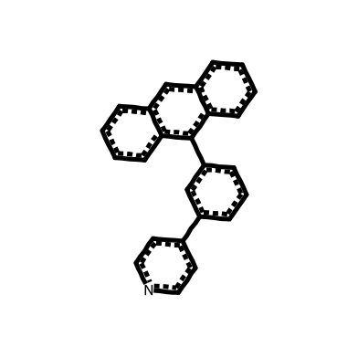 c1cc(-c2ccncc2)cc(-c2c3ccccc3cc3ccccc23)c1